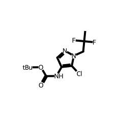 CC(F)(F)Cn1ncc(NC(=O)OC(C)(C)C)c1Cl